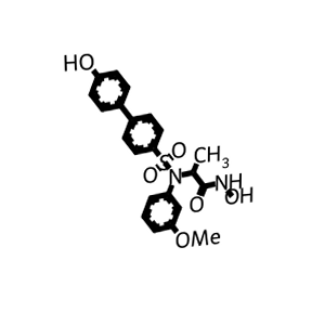 COc1cccc(N(C(C)C(=O)NO)S(=O)(=O)c2ccc(-c3ccc(O)cc3)cc2)c1